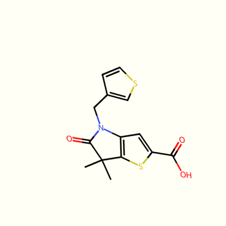 CC1(C)C(=O)N(Cc2ccsc2)c2cc(C(=O)O)sc21